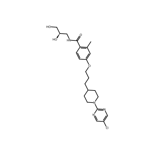 Cc1cc(OCCCC2CCN(c3ncc(Cl)cn3)CC2)ccc1C(=O)NC[C@@H](O)CO